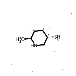 C[C@H]1CC[C@H](S)CN1